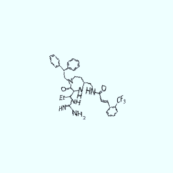 CCC(NC(=N)N)[C@@H]1N[C@H](CNC(=O)/C=C/c2ccccc2C(F)(F)F)CCN(CC(c2ccccc2)c2ccccc2)C1=O